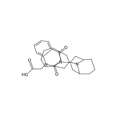 O=C(O)Cn1c(=O)n(C2CC3CCCC(C2)N3C2CC3CCCCC(C3)C2)c(=O)c2ccccc21